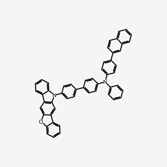 c1ccc(N(c2ccc(-c3ccc(-n4c5ccccc5c5cc6oc7ccccc7c6cc54)cc3)cc2)c2ccc(-c3ccc4ccccc4c3)cc2)cc1